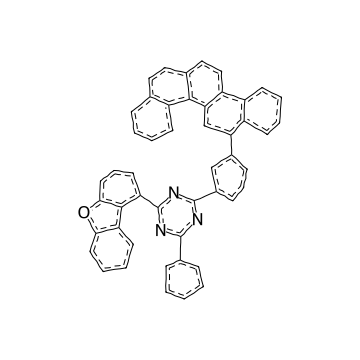 c1ccc(-c2nc(-c3cccc(-c4cc5c(ccc6ccc7ccccc7c65)c5ccccc45)c3)nc(-c3cccc4oc5ccccc5c34)n2)cc1